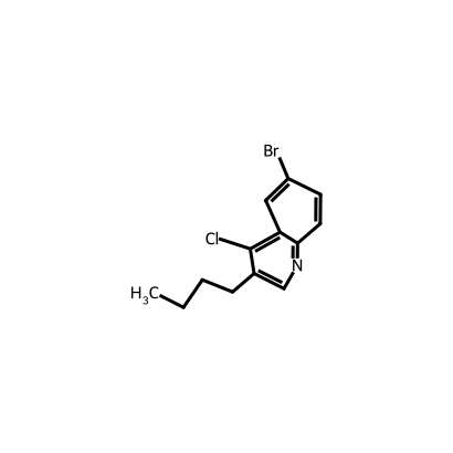 CCCCc1cnc2ccc(Br)cc2c1Cl